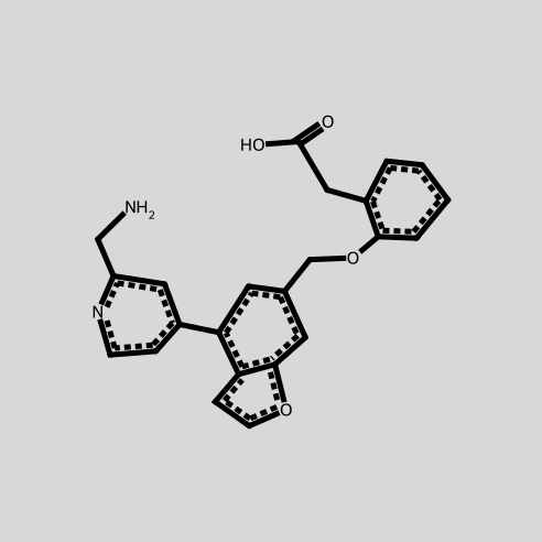 NCc1cc(-c2cc(COc3ccccc3CC(=O)O)cc3occc23)ccn1